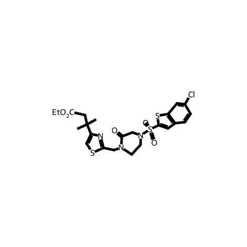 CCOC(=O)CC(C)(C)c1csc(CN2CCN(S(=O)(=O)c3cc4ccc(Cl)cc4s3)CC2=O)n1